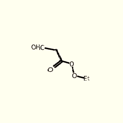 CCOOC(=O)CC=O